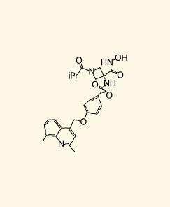 Cc1cc(COc2ccc(S(=O)(=O)NC3(C(=O)NO)CN(C(=O)C(C)C)C3)cc2)c2cccc(C)c2n1